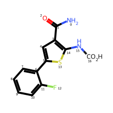 NC(=O)c1cc(-c2ccccc2F)sc1NC(=O)O